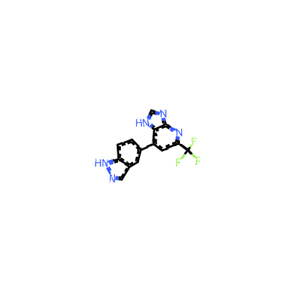 FC(F)(F)c1cc(-c2ccc3[nH]ncc3c2)c2[nH]cnc2n1